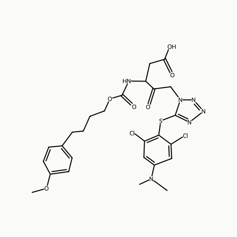 COc1ccc(CCCCOC(=O)NC(CC(=O)O)C(=O)Cn2nnnc2Sc2c(Cl)cc(N(C)C)cc2Cl)cc1